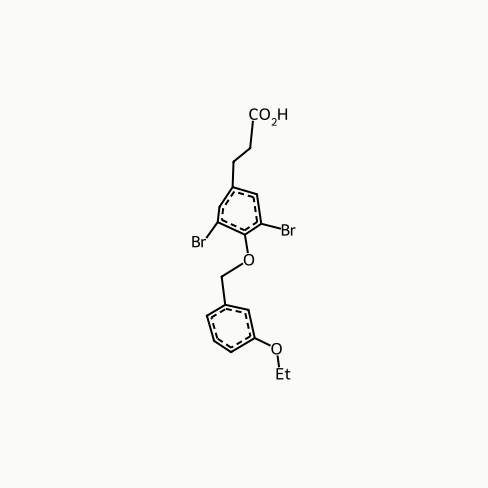 CCOc1cccc(COc2c(Br)cc(CCC(=O)O)cc2Br)c1